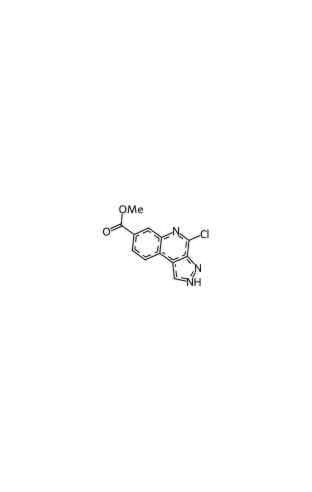 COC(=O)c1ccc2c(c1)nc(Cl)c1n[nH]cc12